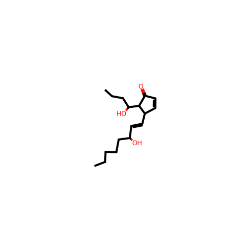 CCCCCC(O)C=CC1C=CC(=O)C1C(O)CCC